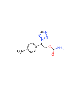 NC(=O)OCC(c1ccc([N+](=O)[O-])cc1)n1ncnn1